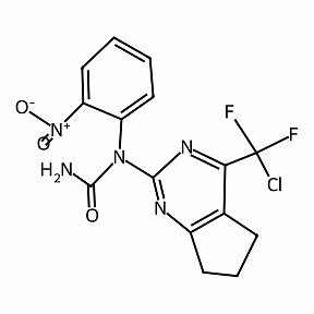 NC(=O)N(c1nc2c(c(C(F)(F)Cl)n1)CCC2)c1ccccc1[N+](=O)[O-]